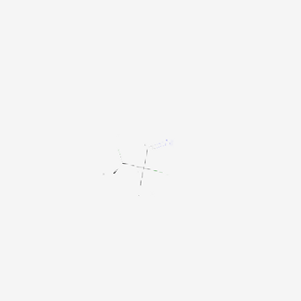 C[C@@H](F)C(C)(Br)C=N